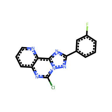 Fc1cccc(-c2nc3c4ncccc4nc(Cl)n3n2)c1